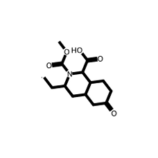 [CH2]CC1CC2CC(=O)CCC2C(C(=O)O)N1C(=O)OC